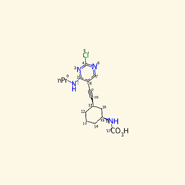 CCCNc1nc(Cl)ncc1C#C[C@@H]1CCC[C@H](NC(=O)O)C1